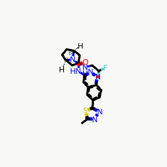 Cc1nnc(-c2ccc3nnc(NC(=O)N4[C@@H]5CC[C@H]4C[C@H](NCC(F)F)C5)cc3c2)s1